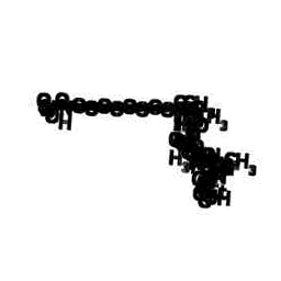 CC[C@@]1(O)C(=O)OCc2c1cc1n(c2=O)Cc2c-1nc1cc(F)c(C)c3c1c2[C@@H](NC(=O)C(C)(NC(=O)OC(C(=O)N1CCOCC1)c1ccc(NC(=O)[C@H](C)NC(=O)[C@H](C)NC(=O)CCOCCOCCOCCOCCOCCOCCOCCOCCNC(=O)CCN2C(=O)C=CC2=O)cc1)C(F)F)CC3